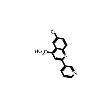 O=C(O)c1cc(-c2cccnc2)nc2ccc(Cl)cc12